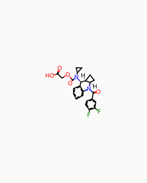 O=C(O)COC(=O)N(C1CC1)[C@@H]1c2ccccc2N(C(=O)c2ccc(F)c(F)c2)[C@@H]2CC[C@@H]21